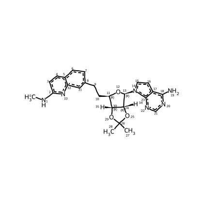 CNc1ccc2ccc(CC[C@H]3O[C@@H](n4ccc5c(N)ncnc54)[C@@H]4OC(C)(C)O[C@@H]43)cc2n1